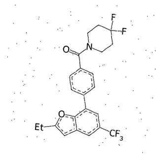 CCc1cc2cc(C(F)(F)F)cc(-c3ccc(C(=O)N4CCC(F)(F)CC4)cc3)c2o1